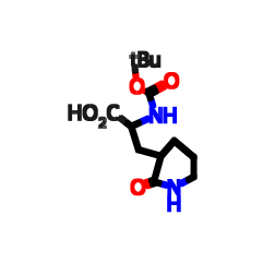 CC(C)(C)OC(=O)NC(CC1CCCNC1=O)C(=O)O